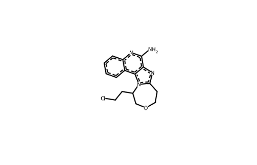 Nc1nc2ccccc2c2c1nc1n2C(CCCl)COCC1